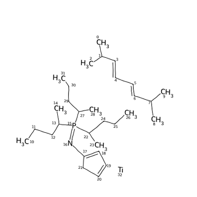 CC(C)C=CC=CC(C)C.CCCC(C)P(=NC1=CC=CC1)(C(C)CCC)C(C)CCC.[Ti]